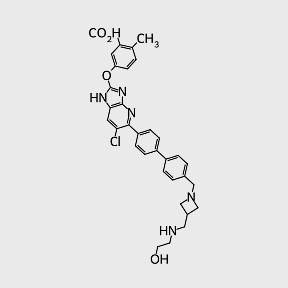 Cc1ccc(Oc2nc3nc(-c4ccc(-c5ccc(CN6CC(CNCCO)C6)cc5)cc4)c(Cl)cc3[nH]2)cc1C(=O)O